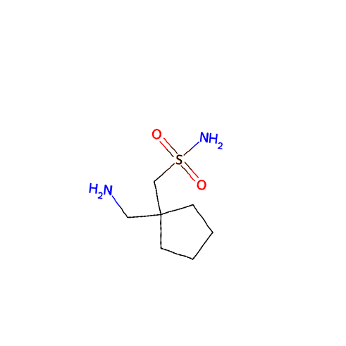 NCC1(CS(N)(=O)=O)CCCC1